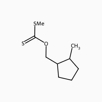 CSC(=S)OCC1CCCC1C